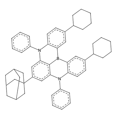 c1ccc(N2c3ccc(C4CCCCC4)cc3B3c4cc(C5CCCCC5)ccc4N(c4ccccc4)c4cc(C56CC7CC(CC(C7)C5)C6)cc2c43)cc1